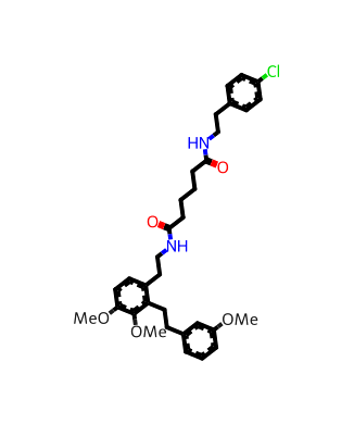 COc1cccc(CCc2c(CCNC(=O)CCCCC(=O)NCCc3ccc(Cl)cc3)ccc(OC)c2OC)c1